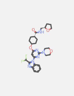 O=C(NC[C@H]1CCCO1)[C@H]1CC[C@H](Oc2cc(-n3c(C(F)F)nc4ccccc43)nc(N3CCOCC3)n2)CC1